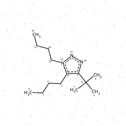 CCCCc1c(C(C)(C)C)nnn1CCCC